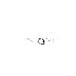 C[Si](C)(C)[Si](C)(C)c1ccc(CCCCCO)cc1